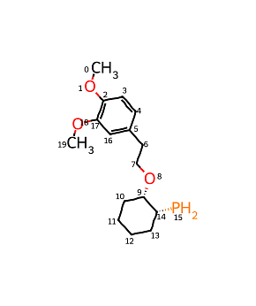 COc1ccc(CCO[C@H]2CCCC[C@H]2P)cc1OC